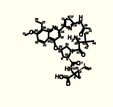 C=C[C@@H]1C[C@]1(NC(=O)[C@@H]1C[C@@H](Oc2cc(-c3csc(NC(C)=O)n3)nc3c(CC)c(OC)ccc23)CN1C(=O)[C@@H](N)C(C)(C)C)C(=O)O